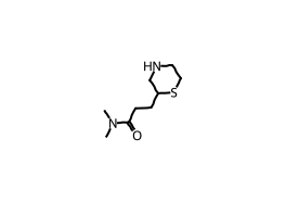 CN(C)C(=O)CCC1CNCCS1